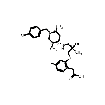 C[C@H]1CN(Cc2ccc(Cl)cc2)[C@@H](C)C[C@@H]1NC[C@](C)(O)COc1cc(F)ccc1CC(=O)O